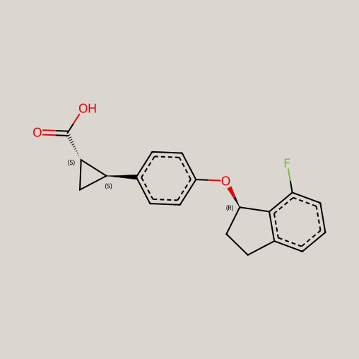 O=C(O)[C@H]1C[C@@H]1c1ccc(O[C@@H]2CCc3cccc(F)c32)cc1